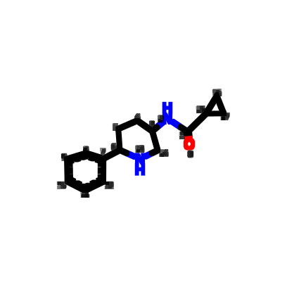 O=C(NC1CCC(c2ccccc2)NC1)C1CC1